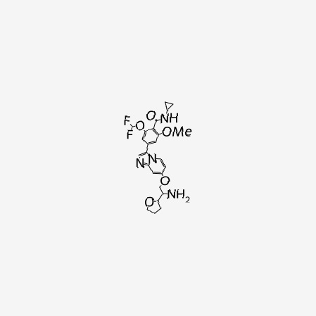 COc1cc(-c2cnc3cc(OCC(N)C4CCCO4)ccn23)cc(OC(F)F)c1C(=O)NC1CC1